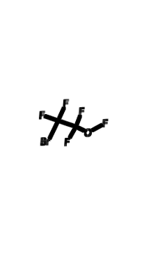 FOC(F)(F)C(F)(F)Br